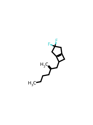 C=C(CCCC)CC1CC2=C1CC(F)(F)C2